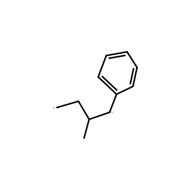 [CH2]CC(C)[CH]c1ccccc1